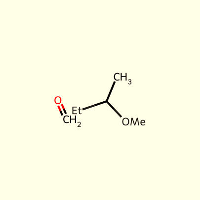 C=O.CCC(C)OC